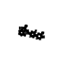 Cc1cccc2c1/C(=C\Nc1ccc(N3CCNC(=O)C3)c(F)c1)C(=O)N2